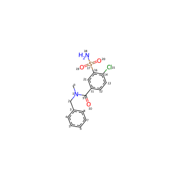 CN(Cc1ccccc1)C(=O)c1ccc(Cl)c(S(N)(=O)=O)c1